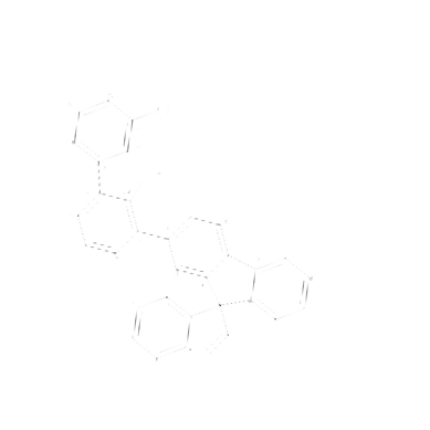 C=CC1(c2ccccc2)c2ccccc2-c2ccc(-c3cccc4c3sc3c(Cl)cccc34)cc21